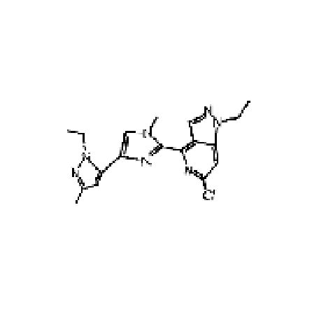 CCn1nc(C)cc1-c1cn(C)c(-c2nc(Cl)cc3c2cnn3CC)n1